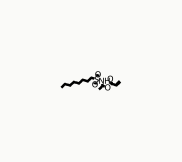 C=CC(=O)OC(C)NS(=O)(=O)CCCCCCCC